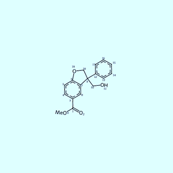 COC(=O)c1ccc2c(c1)C(CO)(c1ccccc1)CO2